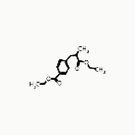 CCOC(=O)c1ccc(CC(C)C(=O)OCC)cc1